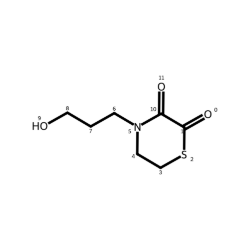 O=C1SCCN(CCCO)C1=O